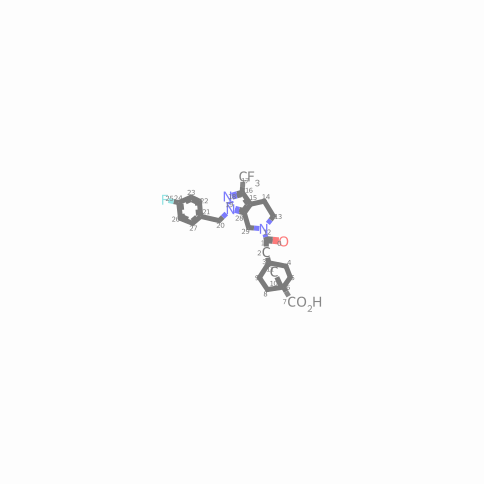 O=C(CC12CCC(C(=O)O)(CC1)CC2)N1CCc2c(C(F)(F)F)nn(Cc3ccc(F)cc3)c2C1